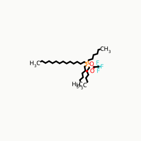 CCCCCCCCCCCCCCP(CCCCCC)(CCCCCC)(CCCCCC)OC(=O)C(F)(F)F